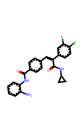 Nc1ccccc1NC(=O)c1ccc(C=C(C(=O)NC2CC2)c2ccc(F)c(F)c2)cc1